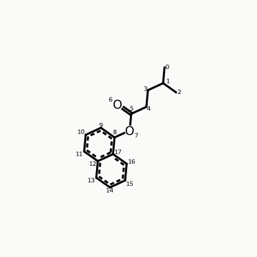 CC(C)CCC(=O)Oc1cccc2ccccc12